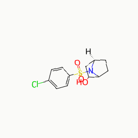 O=S(=O)(c1ccc(Cl)cc1)N1C2CC[C@@H]1CC2O